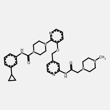 CN1CCN(CC(=O)Nc2cc(COc3cccnc3N3CCN(C(=O)Nc4cccc(C5CC5)c4)CC3)ccn2)CC1